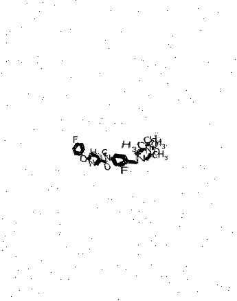 C[C@H]1CN(Cc2ccc(N(C)C(=O)c3ccc(Oc4ccc(F)cc4)nc3)cc2F)CC[N+]1(C(=O)[O-])C(C)(C)C